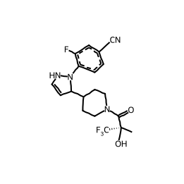 C[C@@](O)(C(=O)N1CCC(C2C=CNN2c2ccc(C#N)cc2F)CC1)C(F)(F)F